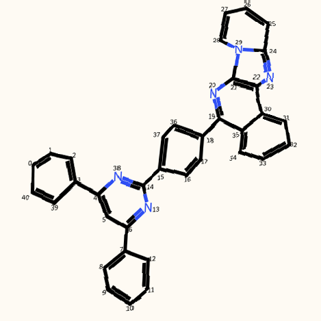 c1ccc(-c2cc(-c3ccccc3)nc(-c3ccc(-c4nc5c(nc6ccccn65)c5ccccc45)cc3)n2)cc1